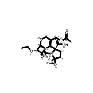 CCO[C@H]1C(=O)N2C([C@]3(C(=O)O)CCC4(OO4)N3C(N)=O)=C(COC(C)=O)CSC12